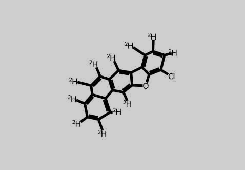 [2H]c1c([2H])c([2H])c2c(oc3c([2H])c4c(c([2H])c([2H])c5c([2H])c([2H])c([2H])c([2H])c54)c([2H])c32)c1Cl